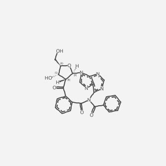 O=C1c2ccccc2C(=O)N(C(=O)c2ccccc2)c2ncnc3c2ncn3[C@@H]2O[C@H](CO)[C@@H](O)[C@@H]12